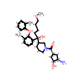 COCCCC[C@@](O)(c1cccc(C)c1Oc1ccccc1C)C1CCCN(C(=O)[C@H]2C[C@@H](N)[C@@H](O)C2)C1